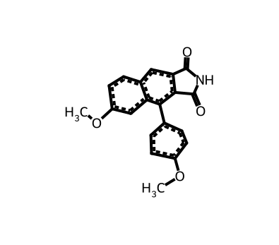 COc1ccc(-c2c3c(cc4ccc(OC)cc24)C(=O)NC3=O)cc1